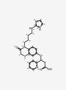 O=C(O)CC(Oc1ccc2c(c1)OCC(=O)N2CCCCNc1ncc[nH]1)c1ccccn1